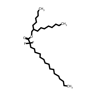 CCCCCCCCCCCCCCCCC(F)(F)C(=O)OCC(CCCCCC)CCCCCCCC